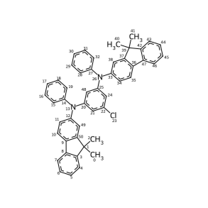 CC1(C)c2ccccc2-c2ccc(N(c3ccccc3)c3cc(Cl)cc(N(c4ccccc4)c4ccc5c(c4)C(C)(C)c4ccccc4-5)c3)cc21